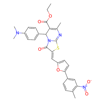 CCOC(=O)C1=C(C)N=c2sc(=Cc3ccc(-c4ccc(C)c([N+](=O)[O-])c4)o3)c(=O)n2C1c1ccc(N(C)C)cc1